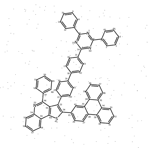 c1ccc(-c2nc(-c3ccccc3)nc(-c3ccc(-c4ccc(-c5c(-c6ccc7c8ccccc8c8ccccc8c7c6)sc6c5c(-c5ccccc5)nc5ccccc56)cc4)cc3)n2)cc1